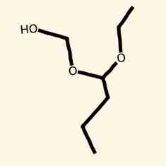 CCCC(OCC)OCO